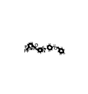 O=C(Nc1ccc2nc([C@H]3CC[C@H](COCc4ccccc4)CC3)sc2c1)c1cccc(C(F)(F)F)n1